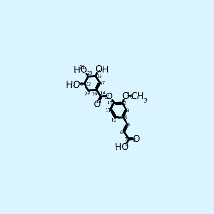 COc1cc(C=CC(=O)O)ccc1OC(=O)C1=CC(O)C(O)C(O)C1